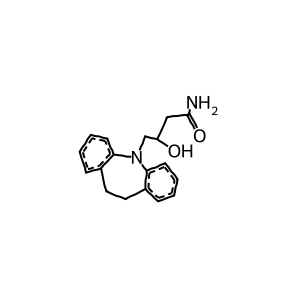 NC(=O)CC(O)CN1c2ccccc2CCc2ccccc21